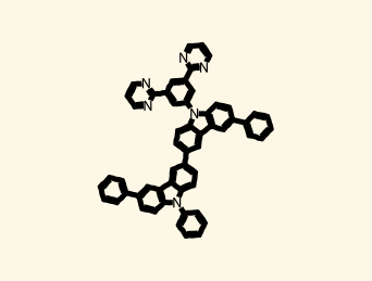 c1ccc(-c2ccc3c(c2)c2cc(-c4ccc5c(c4)c4cc(-c6ccccc6)ccc4n5-c4cc(-c5ncccn5)cc(-c5ncccn5)c4)ccc2n3-c2ccccc2)cc1